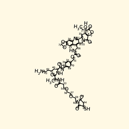 CC[C@@]1(O)C(=O)OCc2c1cc1n(c2=O)Cc2c-1nc1cc3c(cc1c2CNC(=O)OCc1ccc(NC(=O)[C@H](CCCCN)NC(=O)[C@H](C)NC(=O)CCOCCOCCN2C(=O)CC(S)C2=O)cc1)OCO3